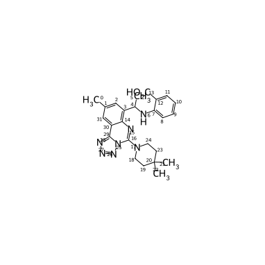 Cc1cc(C(C)Nc2ccccc2C(=O)O)c2nc(N3CCC(C)(C)CC3)n3nnnc3c2c1